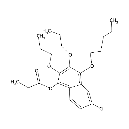 CCCCCOc1c(OCCC)c(OCCC)c(OC(=O)CC)c2ccc(Cl)cc12